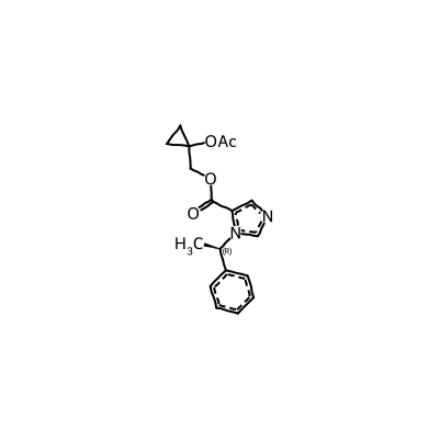 CC(=O)OC1(COC(=O)c2cncn2[C@H](C)c2ccccc2)CC1